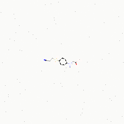 CN(CC(=O)O)c1ccc(S(=O)(=O)CCC#N)cc1